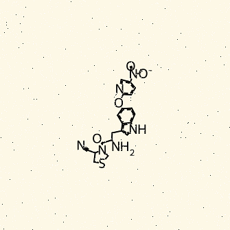 N#CC1CSCN1C(=O)C(N)Cc1c[nH]c2ccc(Oc3ccc([N+](=O)[O-])cn3)cc12